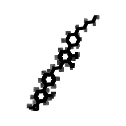 CCCCCC1CCC(c2ccc(CCc3ccc(-c4ccc(OC)cc4F)cc3)c(F)c2F)CC1